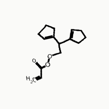 C=CC(=O)OOCC(C1=CCCC1)C1=CCCC1